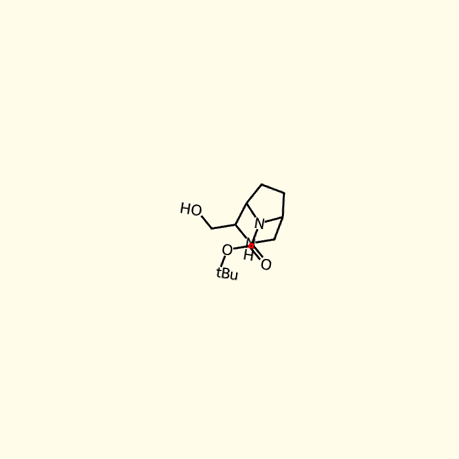 CC(C)(C)OC(=O)N1C2CCC1C(CO)NC2